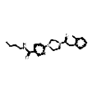 CCCCNC(=O)c1ccc(N2CCN(C(=O)Cc3ccccc3C)CC2)nc1